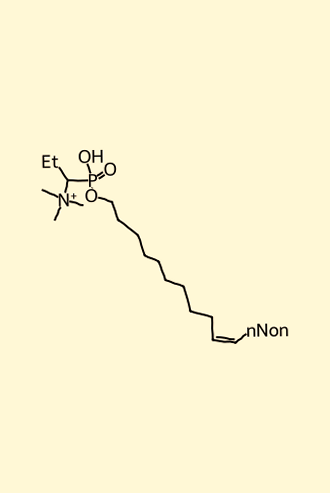 CCCCCCCCC/C=C\CCCCCCCCCOP(=O)(O)C(CC)[N+](C)(C)C